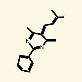 C=c1nc(-c2ccccc2)nc(C)/c1=C/C=C(C)C